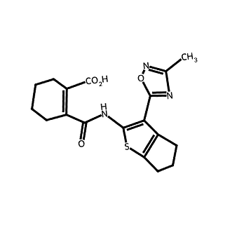 Cc1noc(-c2c(NC(=O)C3=C(C(=O)O)CCCC3)sc3c2CCC3)n1